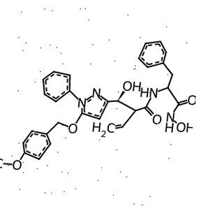 C=CC(C(=O)NC(Cc1ccccc1)C(=O)NO)[C@H](O)c1cc(OCc2ccc(OC)cc2)n(-c2ccccc2)n1